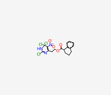 O=C(OCCC1=C([N+](=O)[O-])C(Cl)(Cl)NC(Cl)=N1)C1CCCc2ccccc21